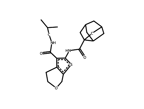 CC(C)CNC(=O)c1c(NC(=O)C23CC4CC(CC2C4)C3)sc2c1CCOC2